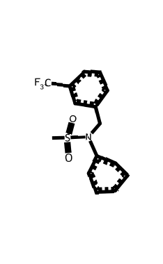 CS(=O)(=O)N(Cc1cccc(C(F)(F)F)c1)c1cc[c]cc1